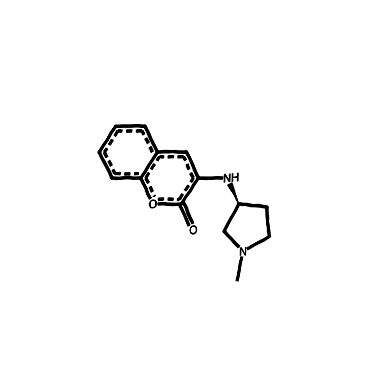 CN1CC[C@H](Nc2cc3ccccc3oc2=O)C1